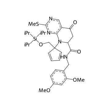 COc1ccc(CNC(=O)C2CC(=O)c3cnc(SC)nc3N2C2(CO[Si](C(C)C)(C(C)C)C(C)C)C=CC=C2)c(OC)c1